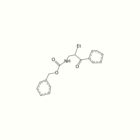 CCC(CNC(=O)OCc1ccccc1)C(=O)c1ccccc1